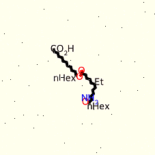 CCCCCCC(CCCCCC(CC)CCCCC(=O)OC(CCCCCC)CCCCCCCCCCC(=O)O)ON